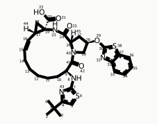 CC(C)(C)c1csc(N[C@H]2CCCCC/C=C\[C@@H]3C[C@@]3(C(=O)O)NC(=O)[C@@H]3C[C@@H](Oc4nc5ccccc5s4)CN3C2=O)n1